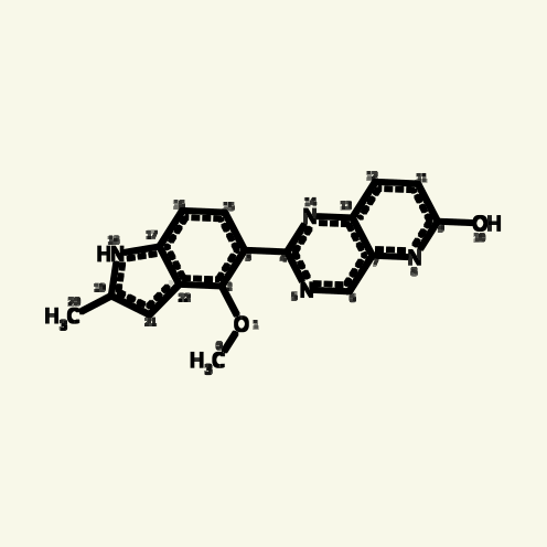 COc1c(-c2ncc3nc(O)ccc3n2)ccc2[nH]c(C)cc12